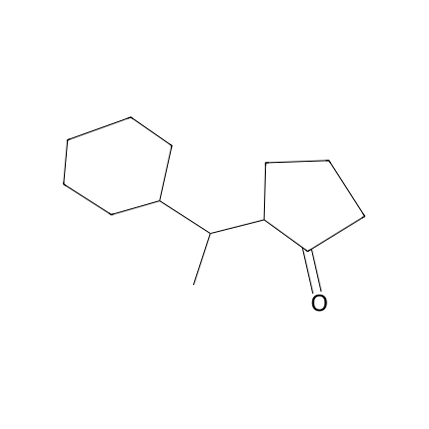 CC(C1CCCCC1)C1CCCC1=O